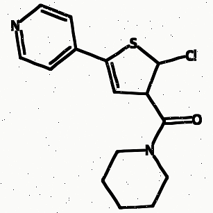 O=C(C1C=C(c2ccncc2)SC1Cl)N1CCCCC1